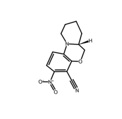 N#Cc1c([N+](=O)[O-])ccc2c1OC[C@H]1CCCCN21